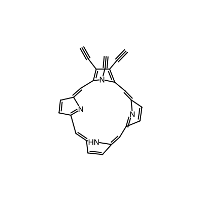 C#Cc1c(C#C)c2cc3nc(cc4ccc(cc5nc(cc1n2C#C)C=C5)[nH]4)C=C3